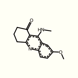 CNc1c2c(nc3ccc(OC)cc13)CCCC2=O